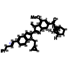 COc1cc(C(=O)N2C[C@H]3CCC2[C@H]3N)cc2nc(-c3cc4cc(/C=C/CC(C)C)ccc4n3CC3CC3)n(C)c12